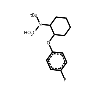 CC(C)(C)N(C(=O)O)C1CCCCC1Oc1ccc(F)cc1